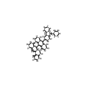 c1ccc(-n2c3ccccc3c3cc(-c4c5ccccc5c(-c5c6ccccc6nc6c5ccc5cccnc56)c5ccccc45)ccc32)cc1